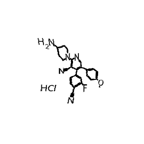 COc1ccc(-c2cnc(N3CCC(N)CC3)c(C#N)c2-c2ccc(C#N)c(F)c2)cc1.Cl